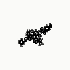 COc1ccc(S(=O)(=O)CCN(CCO)C(=O)c2nc([C@@H]3CCCN3C(=O)OCc3ccccc3)[nH]c(=O)c2OC(=O)C(C)(C)C)cc1